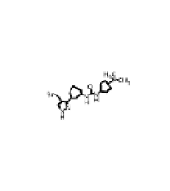 CN(C)c1ccc(NC(=O)Nc2cccc(-c3n[nH]cc3CBr)c2)cc1